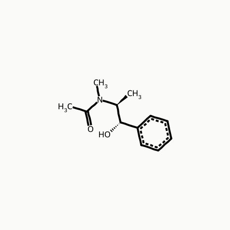 CC(=O)N(C)[C@@H](C)[C@@H](O)c1ccccc1